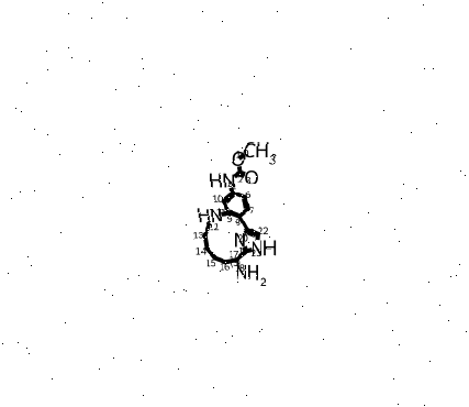 COC(=O)Nc1ccc2c(c1)NCCCCC[C@H](N)c1nc-2c[nH]1